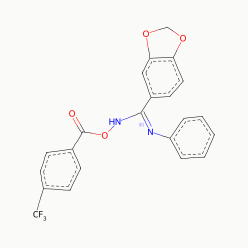 O=C(ON/C(=N/c1ccccc1)c1ccc2c(c1)OCO2)c1ccc(C(F)(F)F)cc1